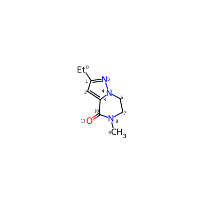 CCc1cc2n(n1)CCN(C)C2=O